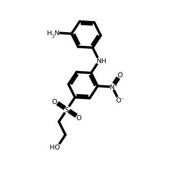 Nc1cccc(Nc2ccc(S(=O)(=O)CCO)cc2[N+](=O)[O-])c1